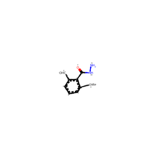 COc1cccc([C]=O)c1C(=O)NN